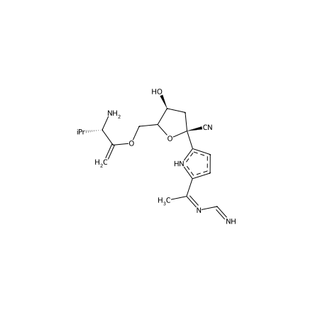 C=C(OCC1O[C@@](C#N)(c2ccc(/C(C)=N\C=N)[nH]2)C[C@@H]1O)[C@@H](N)C(C)C